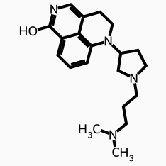 CN(C)CCCN1CCC(N2CCc3cnc(O)c4cccc2c34)C1